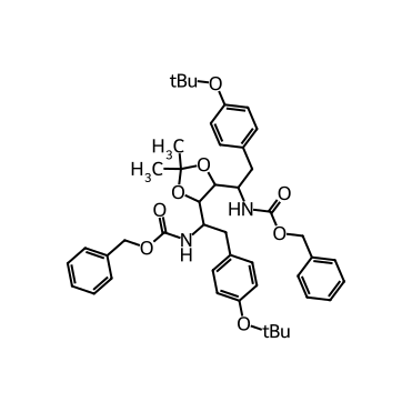 CC(C)(C)Oc1ccc(CC(NC(=O)OCc2ccccc2)C2OC(C)(C)OC2C(Cc2ccc(OC(C)(C)C)cc2)NC(=O)OCc2ccccc2)cc1